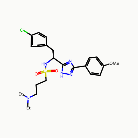 CCN(CC)CCCS(=O)(=O)N[C@@H](Cc1ccc(Cl)cc1)c1nc(-c2ccc(OC)cc2)n[nH]1